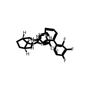 Cc1cc(N2C[C@H]3CC[C@@H](C2)C3(C)Nc2nc3c(-c4ccc(F)c(F)c4F)cccn3n2)ncn1